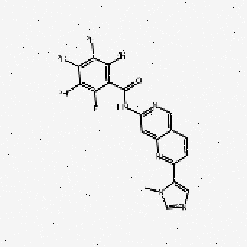 [2H]c1c([2H])c([2H])c(C(=O)Nc2cc3nc(-c4cncn4C)ccc3cn2)c(F)c1[2H]